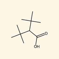 CC(C)(C)C(C(=O)O)C(C)(C)C